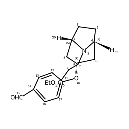 CCOC(=O)CCN1[C@@H]2CC[C@H]1C[C@@H](Oc1ccc(C=O)cc1)C2